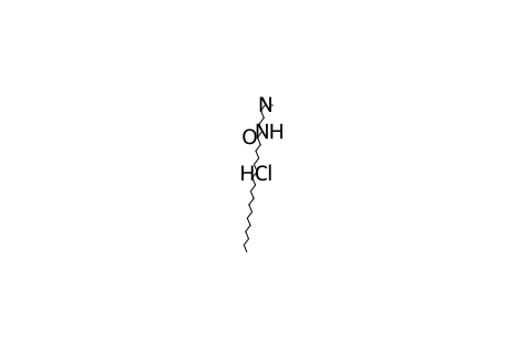 CCCCCCCCCCCCCCCCCC(=O)NCCCN(C)C.Cl